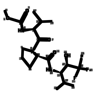 COC(=O)N[C@H](C(=O)N1CCC[C@H]1C(=O)N[C@@H](C(C)C)[C@@H](O)C(F)(F)F)C(C)C